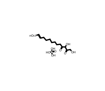 CCCCCCCCC=CCCCCCCCC(=O)C(O)C(=O)CO.O=P(O)(O)O